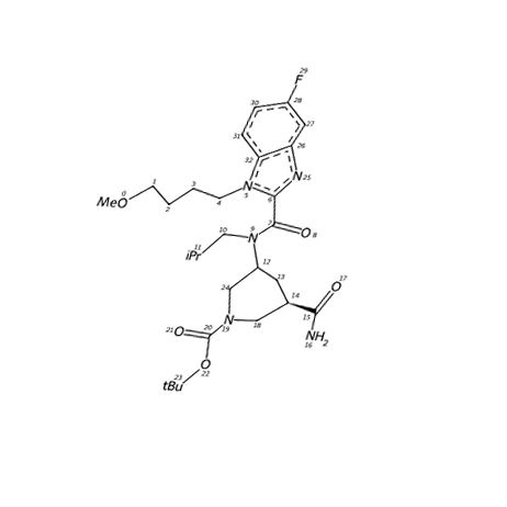 COCCCCn1c(C(=O)N(CC(C)C)C2C[C@@H](C(N)=O)CN(C(=O)OC(C)(C)C)C2)nc2cc(F)ccc21